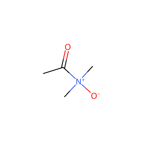 CC(=O)[N+](C)(C)[O-]